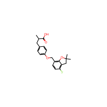 CC(Cc1ccc(OCc2ccc(F)c3c2OC(C)(C)C3)cc1)C(=O)O